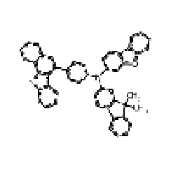 CC1(C)c2ccccc2-c2ccc(N(c3ccc(-c4cc5ccccc5c5sc6ccccc6c45)cc3)c3ccc4c(c3)oc3ccccc34)cc21